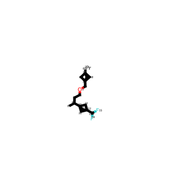 CC(C)C12CC(COCCC(C)C34CC(C(F)F)(C3)C4)(C1)C2